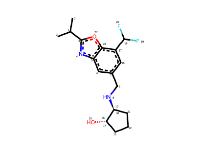 CC(C)c1nc2cc(CN[C@H]3CCC[C@@H]3O)cc(C(F)F)c2o1